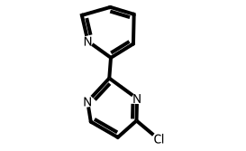 Clc1ccnc(-c2ccccn2)n1